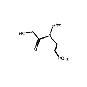 CCCCCCCCCCN(CCCCCC)C(=O)CO